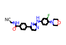 N#CCNC(=O)c1ccc(-c2ccnc(Nc3ccc(N4CCOCC4)c(F)c3)n2)cc1